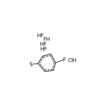 Cl.F.F.F.F.Fc1ccc([S])cc1